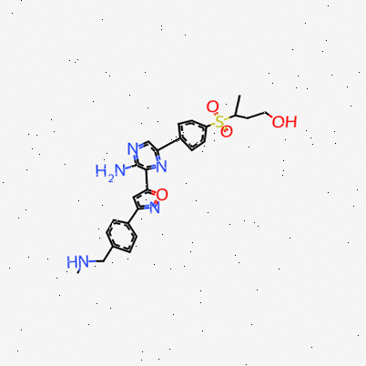 CNCc1ccc(-c2cc(-c3nc(-c4ccc(S(=O)(=O)C(C)CCO)cc4)cnc3N)on2)cc1